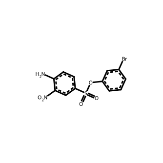 Nc1ccc(S(=O)(=O)Oc2cccc(Br)c2)cc1[N+](=O)[O-]